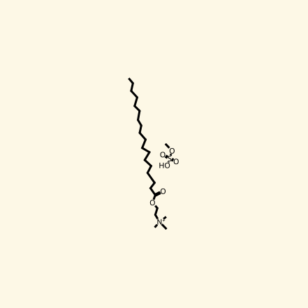 CCCCCCCCCCCCCCCCCC(=O)OCC[N+](C)(C)C.COS(=O)(=O)O